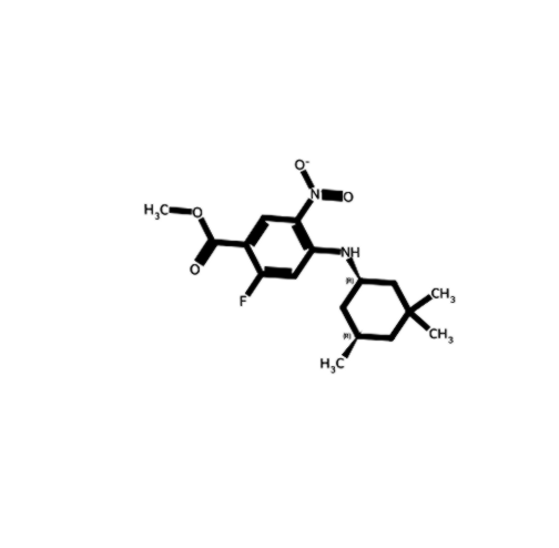 COC(=O)c1cc([N+](=O)[O-])c(N[C@@H]2C[C@H](C)CC(C)(C)C2)cc1F